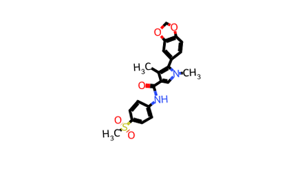 Cc1c(C(=O)Nc2ccc(S(C)(=O)=O)cc2)cn(C)c1-c1ccc2c(c1)OCO2